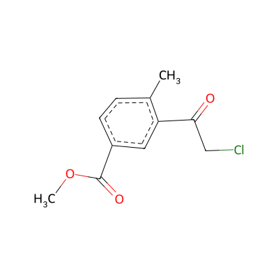 COC(=O)c1ccc(C)c(C(=O)CCl)c1